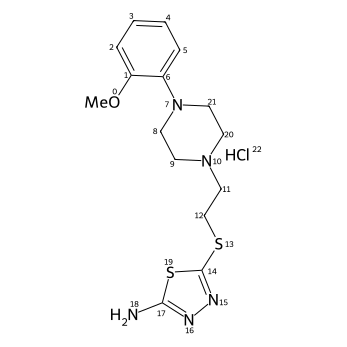 COc1ccccc1N1CCN(CCSc2nnc(N)s2)CC1.Cl